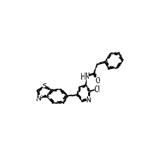 O=C(Cc1ccccc1)Nc1cc(-c2ccc3ncsc3c2)cnc1Cl